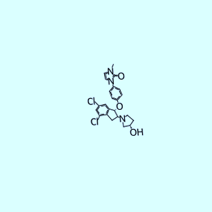 Cn1ccn(-c2ccc(O[C@H]3c4cc(Cl)cc(Cl)c4C[C@@H]3N3CC[C@@H](O)C3)cc2)c1=O